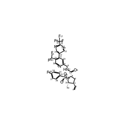 C=C[C@@H]1C[C@@H](C(=O)NCc2cc(-c3cnc(C(F)(F)F)nc3)c(C(F)F)cn2)N(S(=O)(=O)c2ccc(F)cc2)[C@H]1C